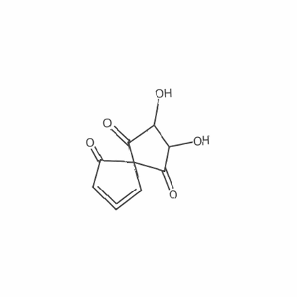 O=C1C=C=CC12C(=O)C(O)C(O)C2=O